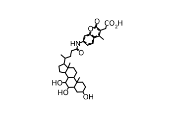 Cc1c(CC(=O)O)c(=O)oc2cc(NC(=O)CCC(C)C3CCC4C5C(O)C(O)C6CC(O)CCC6(C)C5CCC34C)ccc12